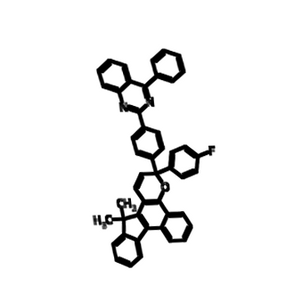 CC1(C)c2ccccc2-c2c1c1c(c3ccccc23)OC(c2ccc(F)cc2)(c2ccc(-c3nc(-c4ccccc4)c4ccccc4n3)cc2)C=C1